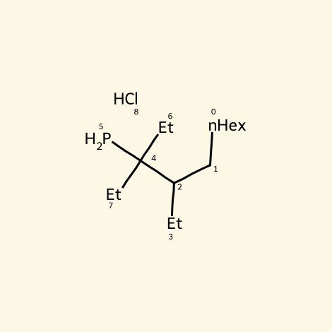 CCCCCCCC(CC)C(P)(CC)CC.Cl